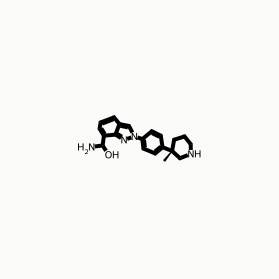 C[C@@]1(c2ccc(-n3cc4cccc(C(N)O)c4n3)cc2)CCCNC1